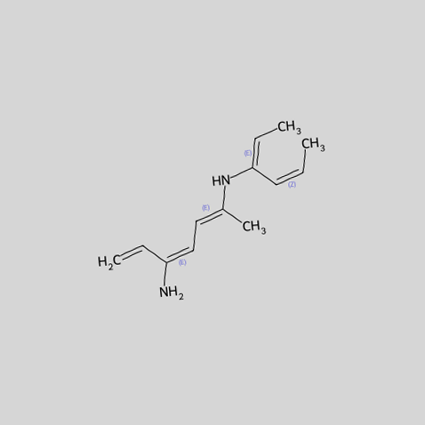 C=C/C(N)=C\C=C(/C)NC(/C=C\C)=C/C